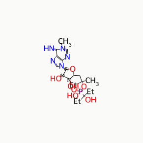 CCC(C)(CC1O[C@@H](n2cnc3c(=N)n(C)cnc32)[C@H](O)[C@@H]1O)OP(=O)(O)C(O)(CC)CC